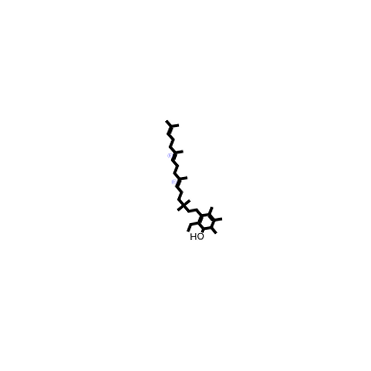 CCC1=C(CCC(C)(C)CC/C=C(\C)CC/C=C(\C)CCC=C(C)C)C(C)=C(C)C(C)C1O